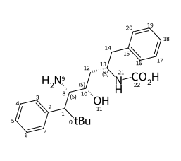 CC(C)(C)C(c1ccccc1)[C@H](N)[C@@H](O)C[C@H](Cc1ccccc1)NC(=O)O